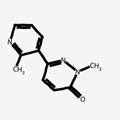 Cc1ncccc1-c1ccc(=O)n(C)n1